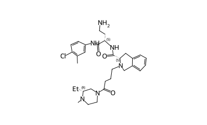 CC[C@@H]1CN(C(=O)CCCN2Cc3ccccc3C[C@H]2C(=O)N[C@@H](CCN)C(=O)Nc2ccc(Cl)c(C)c2)CCN1C